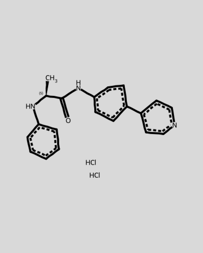 C[C@H](Nc1ccccc1)C(=O)Nc1ccc(-c2ccncc2)cc1.Cl.Cl